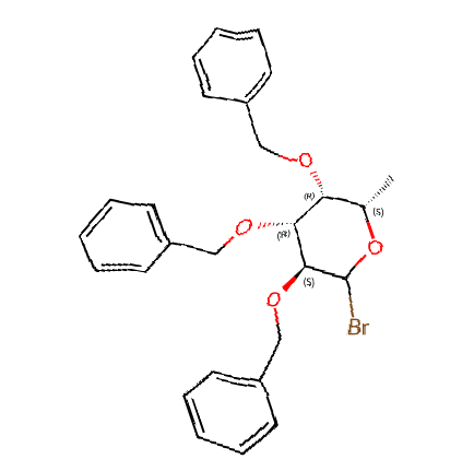 C[C@@H]1OC(Br)[C@@H](OCc2ccccc2)[C@H](OCc2ccccc2)[C@@H]1OCc1ccccc1